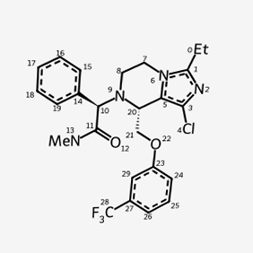 CCc1nc(Cl)c2n1CCN([C@@H](C(=O)NC)c1ccccc1)[C@H]2COc1cccc(C(F)(F)F)c1